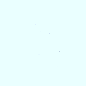 Cc1cc(C)c(N2[C]N(C3CCCCCCCCCCC3)C=C2)c(C)c1